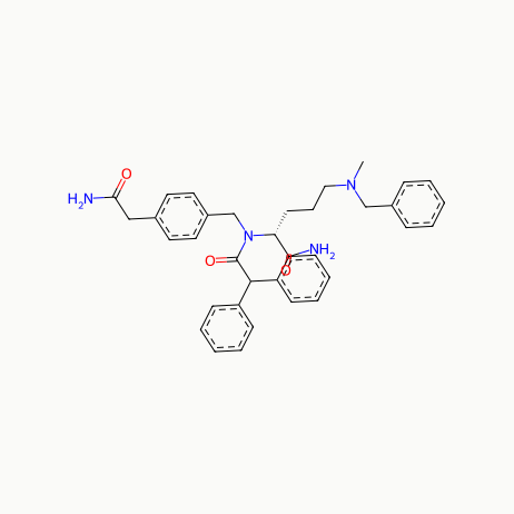 CN(CCC[C@H](C(N)=O)N(Cc1ccc(CC(N)=O)cc1)C(=O)C(c1ccccc1)c1ccccc1)Cc1ccccc1